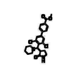 COC(=O)c1ccc(-c2cc(Cl)c(C(C3CCNC3=O)N3CCCCC3)c(Cl)c2)cc1